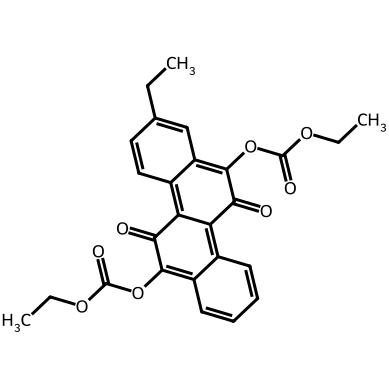 CCOC(=O)OC1=c2ccccc2=C2C(=O)C(OC(=O)OCC)=c3cc(CC)ccc3=C2C1=O